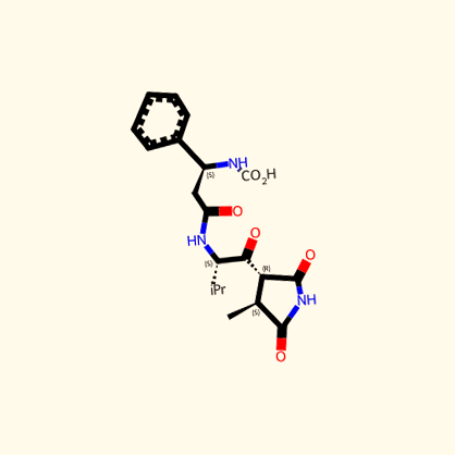 CC(C)[C@H](NC(=O)C[C@H](NC(=O)O)c1ccccc1)C(=O)[C@@H]1C(=O)NC(=O)[C@H]1C